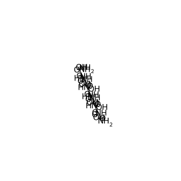 NNC(CCC(=O)NNNC(CCC(=O)NC(CCC(=O)NNNC(CCC(=O)NC(CCC(=O)NC(CCC(N)=O)C(=O)O)C(=O)O)C(=O)O)C(=O)O)C(=O)O)C(=O)O